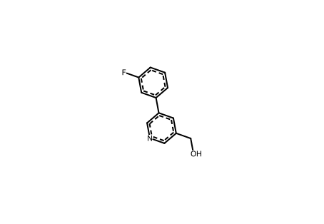 OCc1cncc(-c2cccc(F)c2)c1